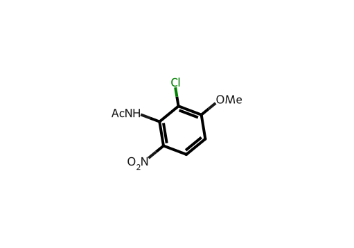 COc1ccc([N+](=O)[O-])c(NC(C)=O)c1Cl